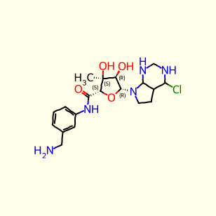 C[C@@]1(O)[C@@H](C(=O)Nc2cccc(CN)c2)O[C@@H](N2CCC3C(Cl)NCNC32)[C@@H]1O